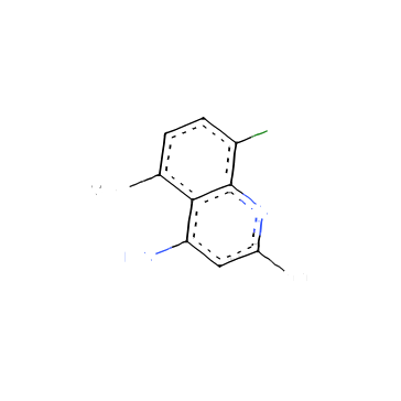 CCCc1cc(N)c2c(OC)ccc(Cl)c2n1